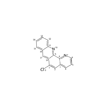 Clc1cc2cccnc2c2nc3ccccc3cc12